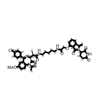 C=C1c2cccc(OCC(=O)NCCCCCNC(=O)[C@H](C)[C@@H]3N=C(c4ccc(Cl)cc4)c4cc(OC)ccc4-n4c(C)nnc43)c2C(=O)N1C1CCC(=O)NC1=O